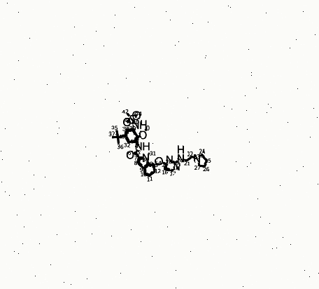 COc1c(NC(=O)c2cc3cccc(Oc4ccnc(NCCN5CCCC5)n4)c3n2C)cc(C(C)(C)C)cc1NS(C)(=O)=O